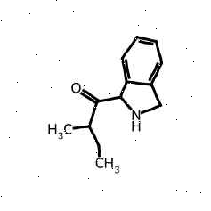 CCC(C)C(=O)C1NCc2ccccc21